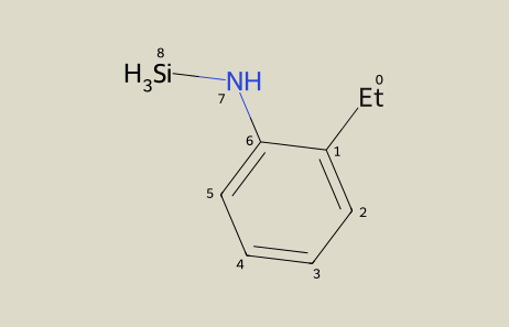 CCc1ccccc1N[SiH3]